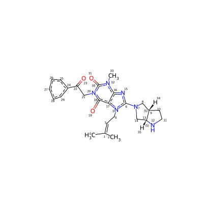 CC(C)=CCn1c(N2C[C@@H]3CCN[C@@H]3C2)nc2c1c(=O)n(CC(=O)c1ccccc1)c(=O)n2C